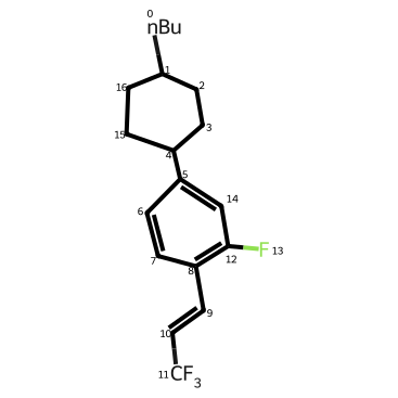 CCCCC1CCC(c2ccc(/C=C/C(F)(F)F)c(F)c2)CC1